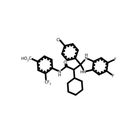 O=C(O)c1ccc(NC(=O)C(C2CCCCC2)C2(c3ccc(Cl)cc3)Nc3cc(F)c(F)cc3N2)c(C(F)(F)F)c1